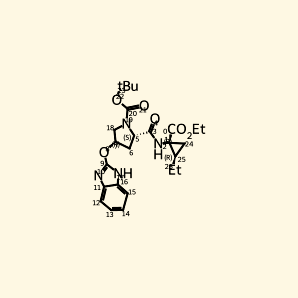 CCOC(=O)[C@@]1(NC(=O)[C@@H]2C[C@@H](Oc3nc4ccccc4[nH]3)CN2C(=O)OC(C)(C)C)C[C@H]1CC